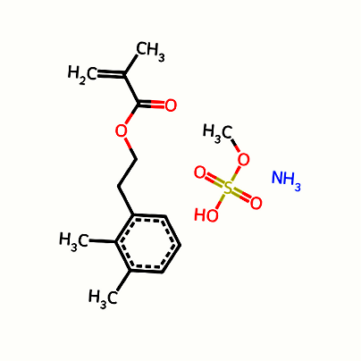 C=C(C)C(=O)OCCc1cccc(C)c1C.COS(=O)(=O)O.N